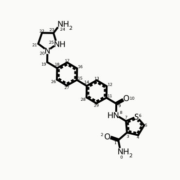 NC(=O)c1ccsc1NC(=O)c1ccc(-c2ccc(CN3CCC(N)N3)cc2)cc1